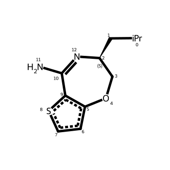 CC(C)C[C@H]1COc2ccsc2C(N)=N1